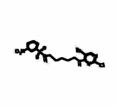 O=[N+]([O-])c1cccc(S(=O)(=O)NCCCCCNc2nc(Cl)ncc2Br)c1